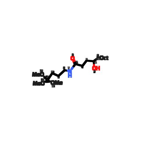 CCCCCCCCC(O)CCC(=O)NCCC[Si](OC)(OC)OC